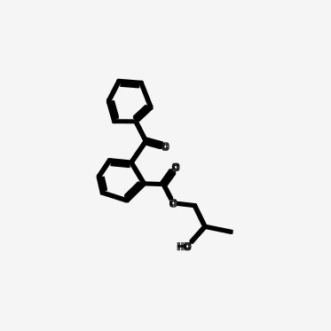 CC(O)COC(=O)c1ccccc1C(=O)c1ccccc1